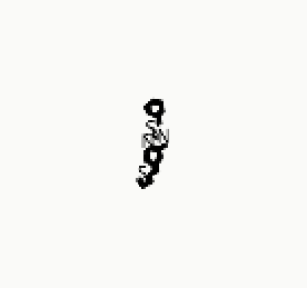 C1=Cc2nc(SCc3ccccc3)ncc2CC1=Cc1cccs1